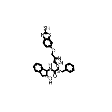 O=C(NC1c2ccccc2C[C@@H]1O)[C@H](Cc1ccccc1)n1cc(COc2ccc3nc(S)sc3c2)nn1